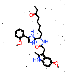 CCC(=O)CCCCCC(NC(=O)Cc1c(C)[nH]c2ccc(OC)cc12)C1=[N+]C=C(c2ccccc2OC)N1